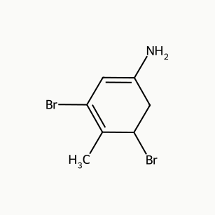 CC1=C(Br)C=C(N)CC1Br